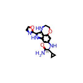 NC(=O)[C@@H](Nc1cc2c3c(c(-c4ncco4)[nH]c3c1)NCCO2)C1CC1